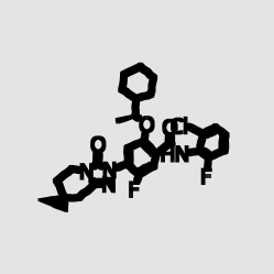 C[C@H](Oc1cc(-n2nc3n(c2=O)CCC2(CC2)C3)c(F)cc1C(=O)Nc1c(F)cccc1Cl)C1CCCCC1